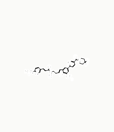 Nc1ccc(/C=C/C(=O)NCCc2cc3cc(-c4ccc(C(=O)N5CCC(F)(F)CC5)cn4)cc(C(F)(F)F)c3o2)cn1